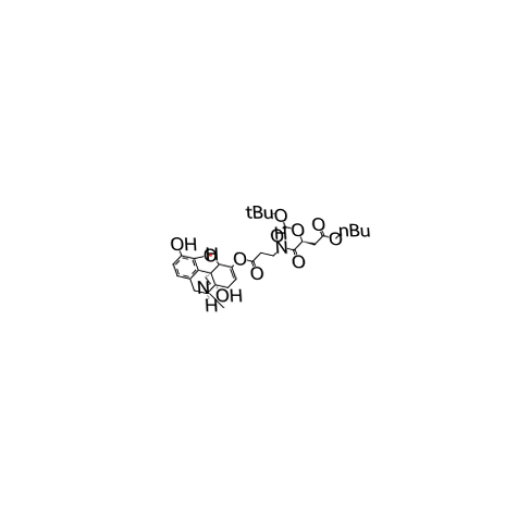 CCCCOC(=O)C[C@H](OC(=O)OC(C)(C)C)C(=O)NCCC(=O)OC1=CC[C@@]2(O)[C@H]3Cc4ccc(O)c5c4[C@@]2(CCN3C)[C@H]1O5